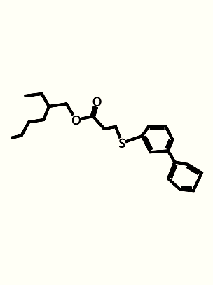 CCCCC(CC)COC(=O)CCSc1cccc(-c2ccccc2)c1